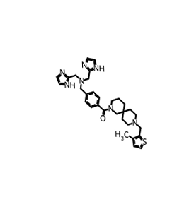 Cc1ccsc1CN1CCC2(CCCN(C(=O)c3ccc(CN(Cc4ncc[nH]4)Cc4ncc[nH]4)cc3)C2)CC1